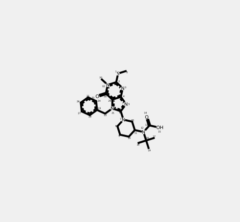 CSc1nc2nc(N3CCCC(N(C(=O)O)C(C)(C)C)C3)n(Cc3ccccc3)c2c(=O)n1C